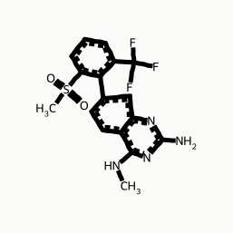 CNc1nc(N)nc2cc(-c3c(C(F)(F)F)cccc3S(C)(=O)=O)ccc12